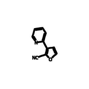 N#Cc1occc1-c1ccccn1